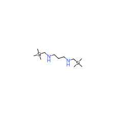 C[Si](C)(C)CNCCCNC[Si](C)(C)C